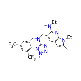 CCN(C)c1nc2c(cc1CN(Cc1cc(C(F)(F)F)cc(C(F)(F)F)c1)c1nnn(C)n1)cc(C)n2CC